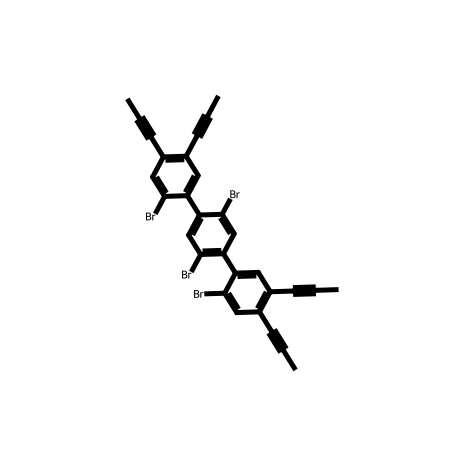 CC#Cc1cc(Br)c(-c2cc(Br)c(-c3cc(C#CC)c(C#CC)cc3Br)cc2Br)cc1C#CC